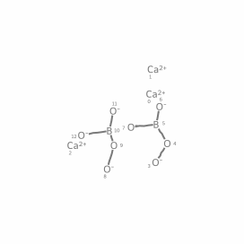 [Ca+2].[Ca+2].[Ca+2].[O-]OB([O-])[O-].[O-]OB([O-])[O-]